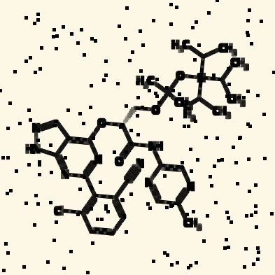 Cc1cnc(NC(=O)[C@@H](COC(C)(C)O[Si](C(C)C)(C(C)C)C(C)C)Oc2nc(-c3c(Cl)cccc3C#N)nc3[nH]ncc23)cn1